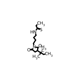 CCC(=S)NCCCCN1C(=O)CC(C(C)(C)CC)C1=O